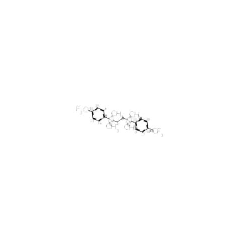 C[Si](C)(CC[Si](C)(C)c1ccc(C(F)(F)F)cc1)c1ccc(C(F)(F)F)cc1